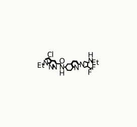 CCNC1CN(c2ccc3c(n2)CCC(NC(=O)c2cc4c(Cl)cn(CC)c4nn2)C3)CC1C(F)F